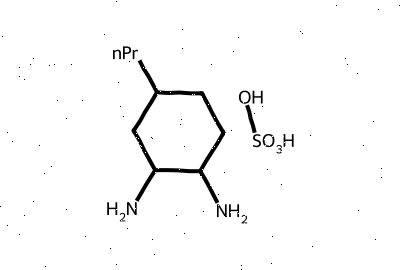 CCCC1CCC(N)C(N)C1.O=S(=O)(O)O